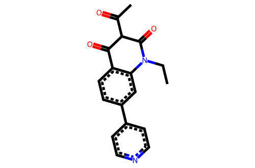 CCN1C(=O)C(C(C)=O)C(=O)c2ccc(-c3ccncc3)cc21